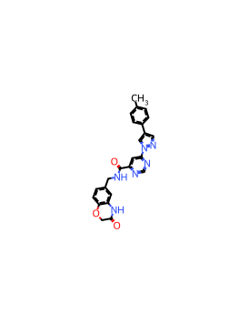 Cc1ccc(-c2cnn(-c3cc(C(=O)NCc4ccc5c(c4)NC(=O)CO5)ncn3)c2)cc1